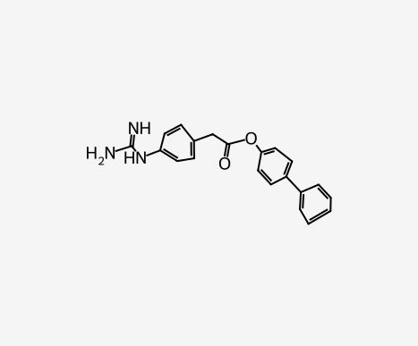 N=C(N)Nc1ccc(CC(=O)Oc2ccc(-c3ccccc3)cc2)cc1